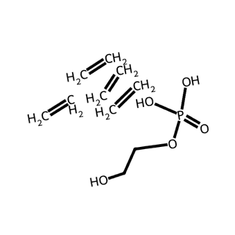 C=C.C=C.C=C.C=C.O=P(O)(O)OCCO